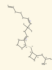 C=CCCC/C=C\C(C)(C)C/C=C1\CCC[C@H]1CC1CCC1CC(C)S